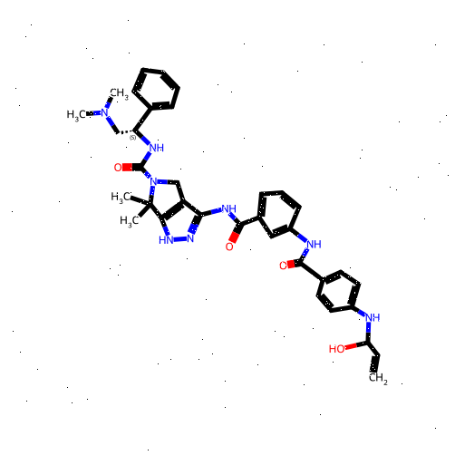 C=CC(O)Nc1ccc(C(=O)Nc2cccc(C(=O)Nc3n[nH]c4c3CN(C(=O)N[C@H](CN(C)C)c3ccccc3)C4(C)C)c2)cc1